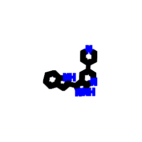 c1ccc2[nH]c(-c3n[nH]c4ncc(-c5ccncc5)cc34)cc2c1